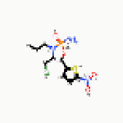 CCCN(CCCl)P(N)(=O)OCc1ccc([N+](=O)[O-])s1